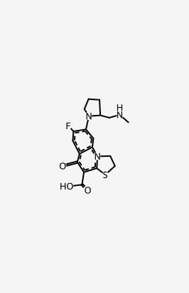 CNCC1CCCN1c1cc2c(cc1F)c(=O)c(C(=O)O)c1n2CCS1